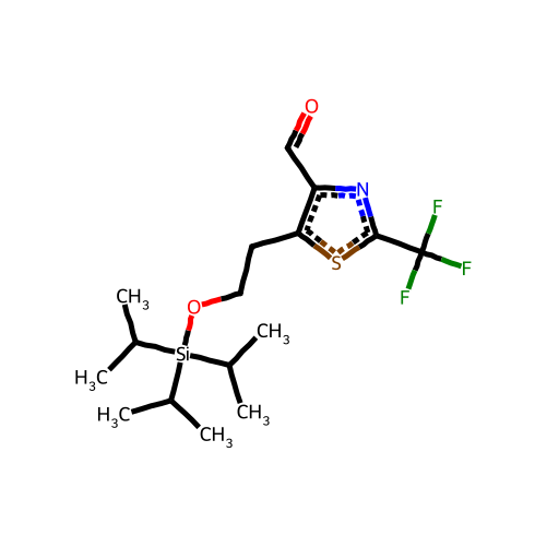 CC(C)[Si](OCCc1sc(C(F)(F)F)nc1C=O)(C(C)C)C(C)C